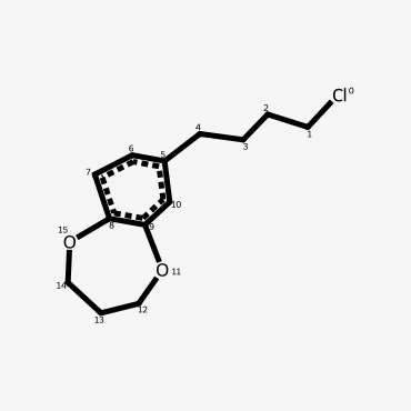 ClCCCCc1ccc2c(c1)OCCCO2